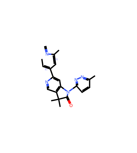 C=N/C(C)=C\C(=C/C)c1cc2c(cn1)C(C)(C)C(=O)N2c1ccc(C)nn1